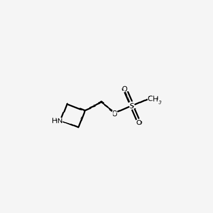 CS(=O)(=O)OCC1CNC1